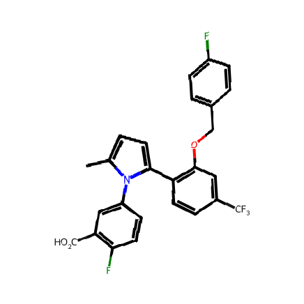 Cc1ccc(-c2ccc(C(F)(F)F)cc2OCc2ccc(F)cc2)n1-c1ccc(F)c(C(=O)O)c1